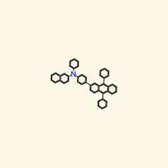 c1ccc(-c2c3ccccc3c(-c3ccccc3)c3cc(-c4ccc(N(c5ccccc5)c5ccc6ccccc6c5)cc4)ccc23)cc1